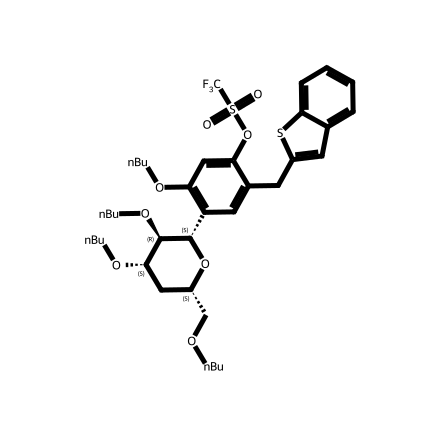 CCCCOC[C@@H]1C[C@H](OCCCC)[C@@H](OCCCC)[C@H](c2cc(Cc3cc4ccccc4s3)c(OS(=O)(=O)C(F)(F)F)cc2OCCCC)O1